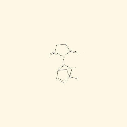 CC12C=CC(C1)C(N1C(=O)CCC1=O)C2